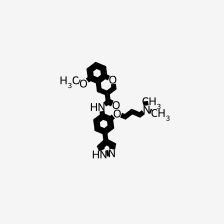 COc1cccc2c1CC(C(=O)Nc1ccc(-c3cn[nH]c3)cc1OCCCN(C)C)CO2